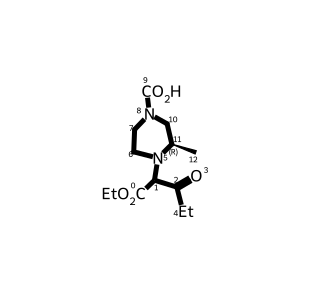 CCOC(=O)C(C(=O)CC)N1CCN(C(=O)O)C[C@H]1C